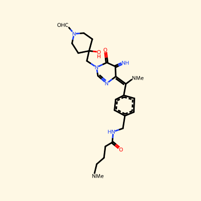 CNCCCC(=O)NCc1ccc(/C(NC)=C2\N=CN(CC3(O)CCN(C=O)CC3)C(=O)C2=N)cc1